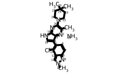 Cc1nc2c(-c3ccc4nn(C)cc4c3Cl)c[nH]c2nc1N1CCC(C)(C)CC1.N